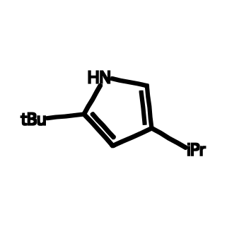 CC(C)c1c[nH]c(C(C)(C)C)c1